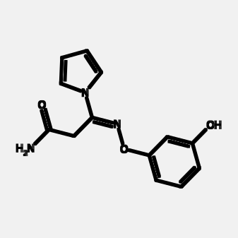 NC(=O)C/C(=N\Oc1cccc(O)c1)n1cccc1